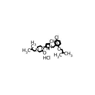 C=C(C)COc1ccc(Cl)cc1Cn1nc(N2CCN(CC(C)C)CC2=O)cc1C.Cl